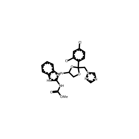 CCCC1COC(Cn2cncn2)(c2ccc(Cl)cc2Cl)O1.COC(=O)Nc1nc2ccccc2[nH]1